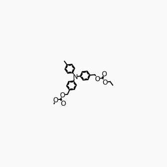 CCOC(=O)OCc1ccc(N(c2ccc(C)cc2)c2ccc(COC(=O)OC)cc2)cc1